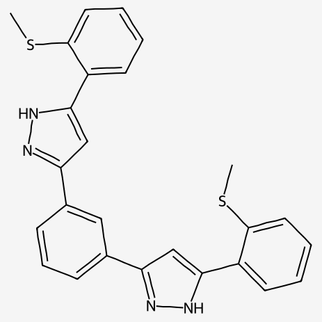 CSc1ccccc1-c1cc(-c2cccc(-c3cc(-c4ccccc4SC)[nH]n3)c2)n[nH]1